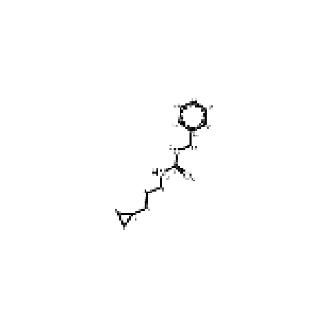 O=C(NCCCC1CC1)OCc1ccccc1